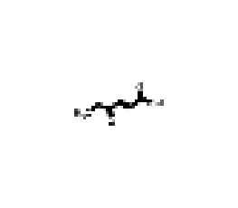 CCC(=O)C=CC(=O)O